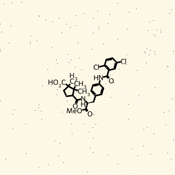 COC(=O)[C@H](Cc1ccc(NC(=O)c2cc(Cl)ccc2Cl)cc1)NC(=O)C1CCC(C)(C(=O)O)C1(C)C